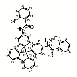 NN(C(=O)c1ccccc1F)c1ccc(C2(c3ccc(NC(=O)c4ccccc4F)cc3)c3ccccc3-c3ccccc32)cc1